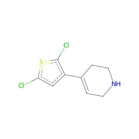 Clc1cc(C2=CCNCC2)c(Cl)s1